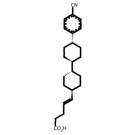 N#Cc1ccc([C@H]2CC[C@H]([C@H]3CC[C@H](C=CCCC(=O)O)CC3)CC2)cc1